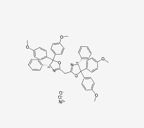 COc1ccc(C2(c3ccc(OC)cc3)OC(CC3=N[C@H](c4ccccc4)C(c4ccc(OC)cc4)(c4ccc(OC)cc4)O3)=N[C@@H]2c2ccccc2)cc1.[Cl-].[Cl-].[Ni+2]